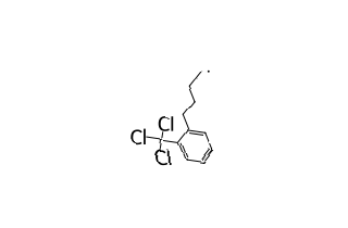 [CH2]CCCc1ccccc1C(Cl)(Cl)Cl